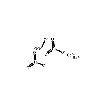 O=C([O-])[O-].[Ba+2].[Ca+2].[O]=[Ta](=[O])[O-].[O]=[Ta](=[O])[O-]